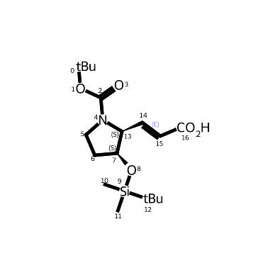 CC(C)(C)OC(=O)N1CC[C@H](O[Si](C)(C)C(C)(C)C)[C@@H]1/C=C/C(=O)O